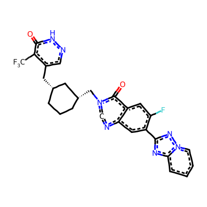 O=c1[nH]ncc(C[C@H]2CCC[C@@H](Cn3cnc4cc(-c5nc6ccccn6n5)c(F)cc4c3=O)C2)c1C(F)(F)F